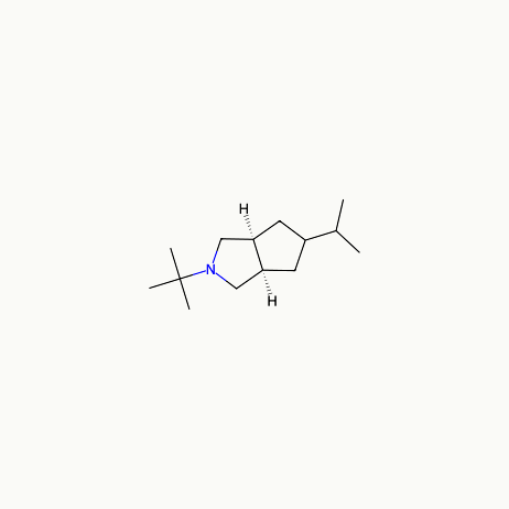 CC(C)C1C[C@@H]2CN(C(C)(C)C)C[C@@H]2C1